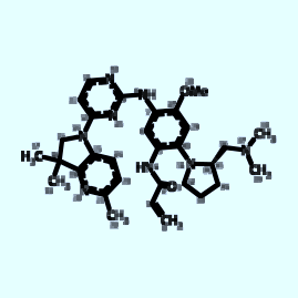 C=CC(=O)Nc1cc(Nc2nccc(N3CC(C)(C)c4nc(C)ccc43)n2)c(OC)cc1N1CCC[C@@H]1CN(C)C